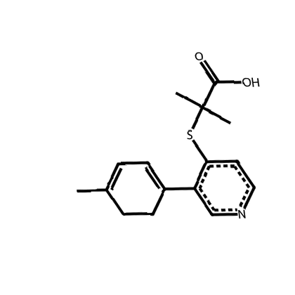 CC1=CC=C(c2cnccc2SC(C)(C)C(=O)O)CC1